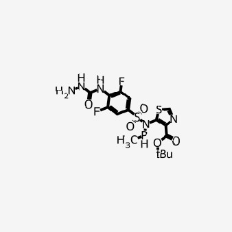 CPN(c1scnc1C(=O)OC(C)(C)C)S(=O)(=O)c1cc(F)c(NC(=O)NN)c(F)c1